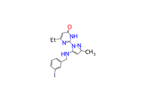 CCc1cc(=O)[nH]c(-n2nc(C)cc2NCc2cccc(I)c2)n1